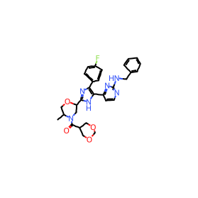 CC1COC(c2nc(-c3ccc(F)cc3)c(-c3ccnc(NCc4ccccc4)n3)[nH]2)CN1C(=O)C1COCOC1